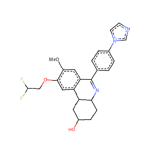 COc1cc2c(cc1OCC(F)F)C1CC(O)CCC1N=C2c1ccc(-n2ccnc2)cc1